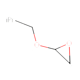 CC(C)COC1CO1